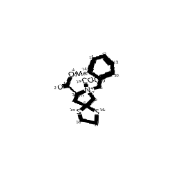 COC(=O)[C@@H]1CC2(C[N+]1(Cc1ccccc1)C(=O)[O-])SCCS2